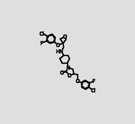 O=C1OC(COc2ccc(Cl)c(F)c2)CN1C1CCC(NCC2(Oc3ccc(Cl)c(F)c3)COC2)CC1